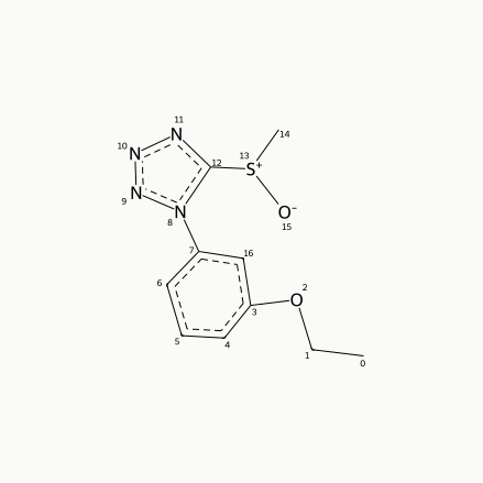 CCOc1cccc(-n2nnnc2[S+](C)[O-])c1